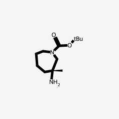 CC(C)(C)OC(=O)N1CCCC[C@@](C)(N)C1